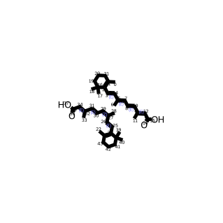 CC1=C(/C=C/C(C)=C/C=C/C(C)=C/C(=O)O)C(C)(C)CCC1.CC1=C(/C=C/C(C)=C\C=C\C(C)=C\C(=O)O)C(C)(C)CCC1